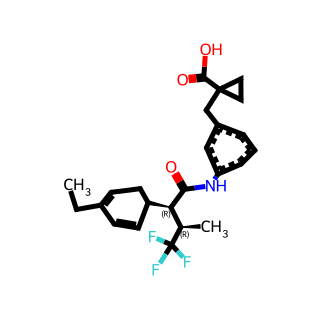 CCC1=CCC([C@@H](C(=O)Nc2cccc(CC3(C(=O)O)CC3)c2)[C@@H](C)C(F)(F)F)C=C1